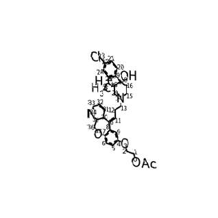 CC(=O)OCCOc1ccc2c(c1)/C(=C/CCN1CCC(O)(c3ccc(Cl)cc3)C(C)(C)C1)C1C=CC=NC1CO2